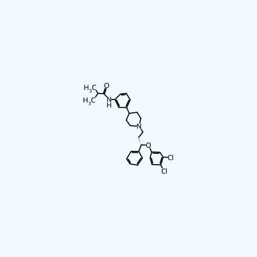 CC(C)C(=O)Nc1cccc(C2CCN(CC[C@H](Oc3ccc(Cl)c(Cl)c3)c3ccccc3)CC2)c1